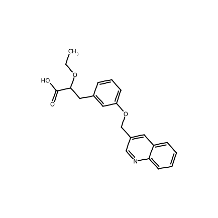 CCOC(Cc1cccc(OCc2cnc3ccccc3c2)c1)C(=O)O